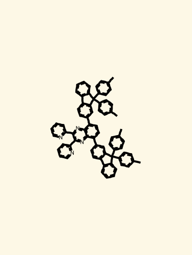 Cc1ccc(C2(c3ccc(C)cc3)c3ccccc3-c3ccc(-c4ccc(-c5ccc6c(c5)C(c5ccc(C)cc5)(c5ccc(C)cc5)c5ccccc5-6)c5nc(-c6ccccn6)c(-c6ccccn6)nc45)cc32)cc1